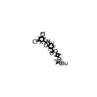 CC(C)(C)[Si](C)(C)OC1CC(OC(=O)c2ccc3nc(-c4cc(Cl)cc(Cl)c4)oc3c2)C1